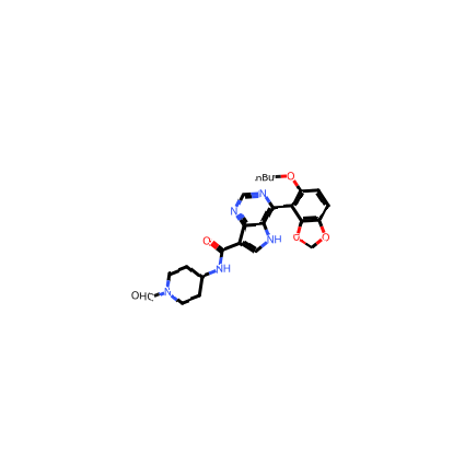 CCCCOc1ccc2c(c1-c1ncnc3c(C(=O)NC4CCN(C=O)CC4)c[nH]c13)OCO2